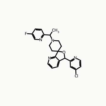 CC(c1ccc(F)cn1)N1CCC2(CC1)OC(c1cc(Cl)ccn1)c1cccnc12